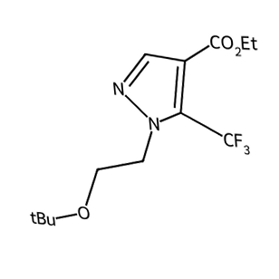 CCOC(=O)c1cnn(CCOC(C)(C)C)c1C(F)(F)F